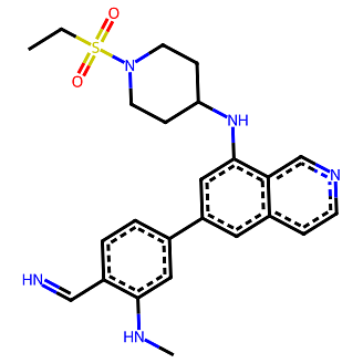 CCS(=O)(=O)N1CCC(Nc2cc(-c3ccc(C=N)c(NC)c3)cc3ccncc23)CC1